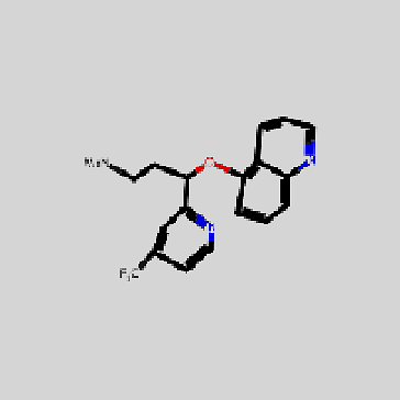 CNCCC(Oc1cccc2ncccc12)c1cc(C(F)(F)F)ccn1